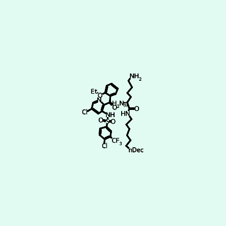 CCCCCCCCCCCCCCCCNC(=O)[C@@H](N)CCCCN.CCOc1ccccc1C(=O)c1ncc(Cl)cc1NS(=O)(=O)c1ccc(Cl)c(C(F)(F)F)c1